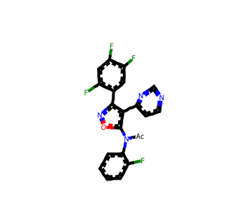 CC(=O)N(c1ccccc1F)c1onc(-c2cc(F)c(F)cc2F)c1-c1ccncn1